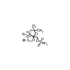 CC1(C)O[C@H]2[C@H](Br)[C@@H](Br)CO[C@@]2(COS(N)(=O)=O)O1